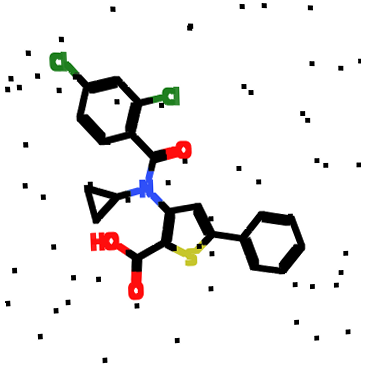 O=C(O)c1sc(-c2ccccc2)cc1N(C(=O)c1ccc(Cl)cc1Cl)C1CC1